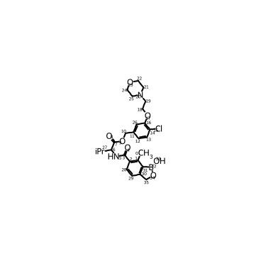 Cc1c(C(=O)NC(C(=O)OCc2ccc(Cl)c(OCCN3CCOCC3)c2)C(C)C)ccc2c1B(O)OC2